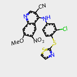 COc1cc2ncc(C#N)c(Nc3ccc(Sc4nccs4)c(Cl)c3)c2cc1[N+](=O)[O-]